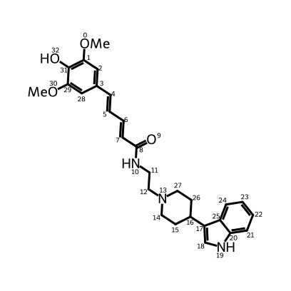 COc1cc(/C=C/C=C/C(=O)NCCN2CCC(c3c[nH]c4ccccc34)CC2)cc(OC)c1O